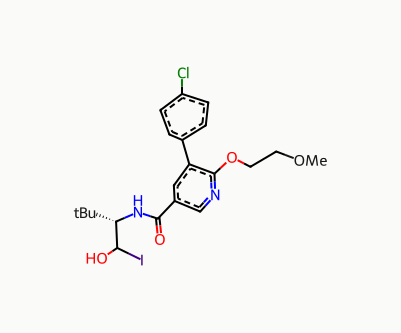 COCCOc1ncc(C(=O)N[C@H](C(O)I)C(C)(C)C)cc1-c1ccc(Cl)cc1